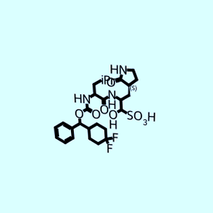 CC(C)CC(NC(=O)OC(c1ccccc1)C1CCC(F)(F)CC1)C(=O)NC(C[C@@H]1CCNC1=O)C(O)S(=O)(=O)O